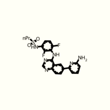 CCCS(=O)(=O)Nc1ccc(F)c(Nc2ncnc3ccc(-c4cccc(N)n4)cc23)c1F